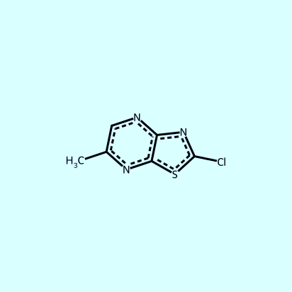 Cc1cnc2nc(Cl)sc2n1